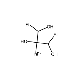 CCCC(O)(C(O)CC)C(O)CC